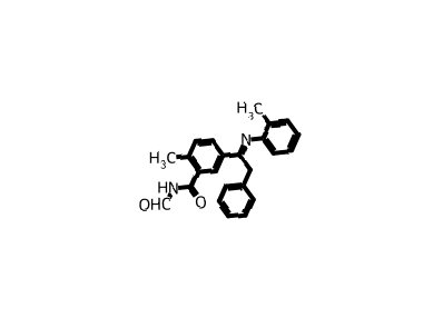 Cc1ccccc1/N=C(\Cc1ccccc1)c1ccc(C)c(C(=O)NC=O)c1